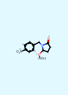 CCCCCCCCOC1CCC(=O)N1Cc1ccc([N+](=O)[O-])cc1